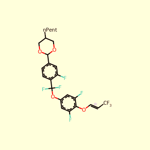 CCCCCC1COC(c2ccc(C(F)(F)Oc3cc(F)c(O/C=C/C(F)(F)F)c(F)c3)c(F)c2)OC1